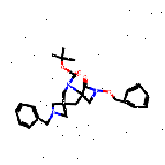 CC(C)(C)OC(=O)N1CC2(CN(Cc3ccccc3)C2)CC12CN(OCc1ccccc1)C2=O